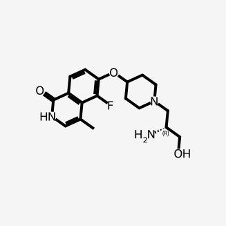 Cc1c[nH]c(=O)c2ccc(OC3CCN(C[C@@H](N)CO)CC3)c(F)c12